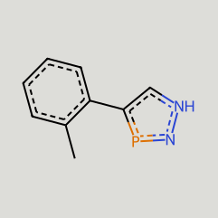 Cc1ccccc1-c1c[nH]np1